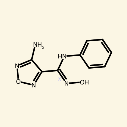 Nc1nonc1/C(=N/O)Nc1ccccc1